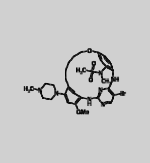 COc1cc(N2CCN(C)CC2)c2cc1Nc1ncc(Br)c(n1)Nc1ccc(cc1N(C)S(C)(=O)=O)OCCCCC2